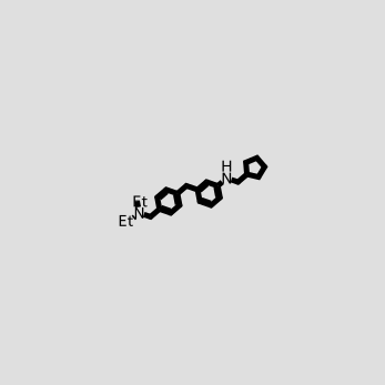 CCN(CC)Cc1ccc(Cc2cccc(NCC3CCCC3)c2)cc1